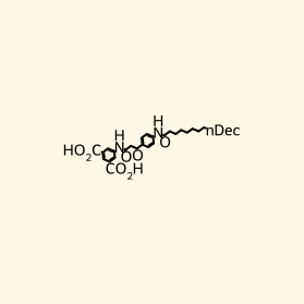 CCCCCCCCCCCCCCCCCC(=O)Nc1ccc(C(=O)CC(=O)Nc2cc(C(=O)O)cc(C(=O)O)c2)cc1